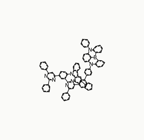 c1ccc(-c2ccc3c(c2)c2ccccc2n3-c2ccc(-c3cc(-c4ccccc4)nc(-c4ccccc4)n3)cc2-c2nc(-c3ccccc3)cc(-c3cccc(-c4ccc(N5c6ccccc6B6c7ccccc7N(c7ccccc7)c7cccc5c76)cc4)c3)n2)cc1